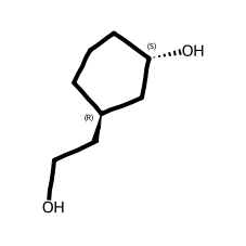 OCC[C@H]1CCC[C@H](O)C1